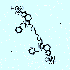 O=S(=O)(O)c1cc2c(s1)-c1c(c(COCCCOCc3nn(Cc4ccccc4)c4c3CCc3cc(S(=O)(=O)O)sc3-4)nn1Cc1ccccc1)CC2